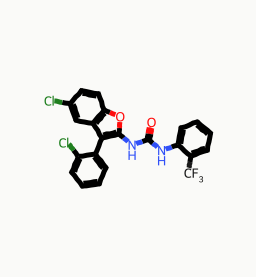 O=C(Nc1ccccc1C(F)(F)F)Nc1oc2ccc(Cl)cc2c1-c1ccccc1Cl